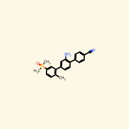 Cc1ccc(P(C)(C)=O)cc1-c1ccc(-c2ccc(C#N)cc2)c(N)c1